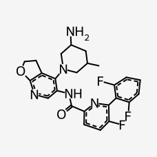 CC1CC(N)CN(c2c(NC(=O)c3ccc(F)c(-c4c(F)cccc4F)n3)cnc3c2CCO3)C1